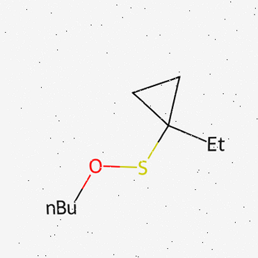 CCCCOSC1(CC)CC1